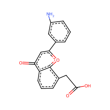 Nc1cccc(-c2cc(=O)c3cccc(CC(=O)O)c3o2)c1